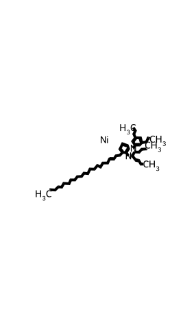 CCC=CC(=Nc1ccccc1CCC=CCCCCCCCCCCCCCCCCCCC)C(CCCC)=Nc1cc(CCC)cc(CCC)c1.[Ni]